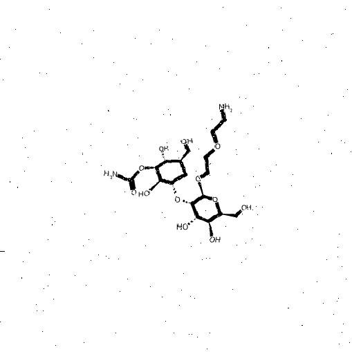 NCCOCCO[C@H]1O[C@@H](CO)[C@@H](O)[C@H](O)[C@@H]1O[C@H]1C[C@H](CO)[C@@H](O)[C@H](OC(N)=O)[C@@H]1O